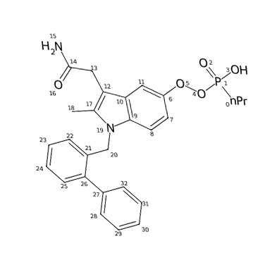 CCCP(=O)(O)OOc1ccc2c(c1)c(CC(N)=O)c(C)n2Cc1ccccc1-c1ccccc1